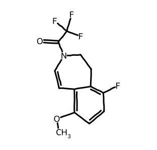 COc1ccc(F)c2c1C=CN(C(=O)C(F)(F)F)CC2